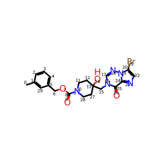 Cc1cccc(COC(=O)N2CCC(O)(Cn3cnn4c(Br)cnc4c3=O)CC2)c1